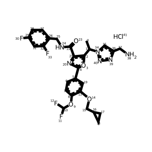 CC(c1oc(-c2ccc(OC(F)F)c(OCC3CC3)c2)nc1C(=O)NCc1ccc(F)cc1F)n1cc(CN)nn1.Cl